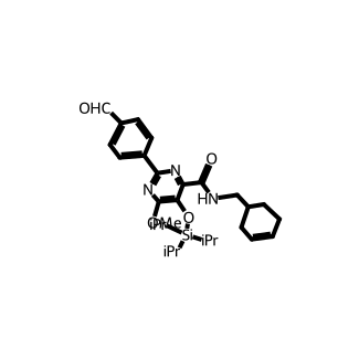 COc1nc(-c2ccc(C=O)cc2)nc(C(=O)NCC2CC=CCC2)c1O[Si](C(C)C)(C(C)C)C(C)C